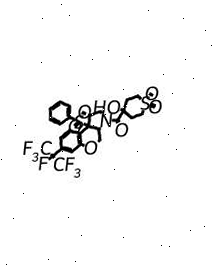 O=C(N1CCC2(S(=O)(=O)c3ccccc3)c3ccc(C(F)(C(F)(F)F)C(F)(F)F)cc3OCC12)C1(O)CCS(=O)(=O)CC1